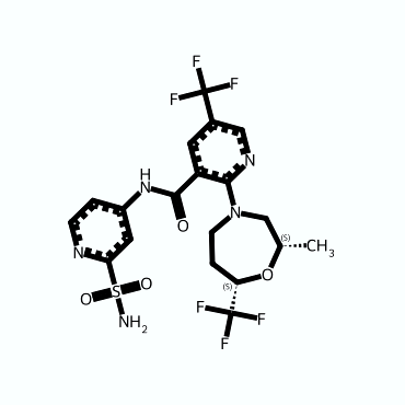 C[C@H]1CN(c2ncc(C(F)(F)F)cc2C(=O)Nc2ccnc(S(N)(=O)=O)c2)CC[C@@H](C(F)(F)F)O1